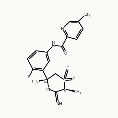 C[C@H]1C(=N)N[C@](C)(c2cc(NC(=O)c3ccc(C(F)(F)F)cn3)ccc2F)CS1(=O)=O